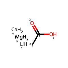 [CH2]C(=O)O.[CaH2].[LiH].[MgH2]